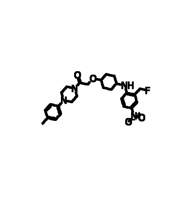 Cc1ccc(N2CCN(C(=O)COC3CCC(Nc4ccc([N+](=O)[O-])cc4CF)CC3)CC2)cc1